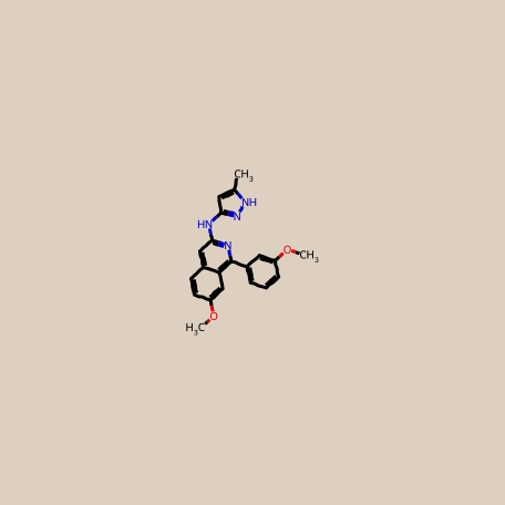 COc1cccc(-c2nc(Nc3cc(C)[nH]n3)cc3ccc(OC)cc23)c1